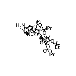 CCC(C)(C)COC(=O)[C@H](C)N[P@@](=O)(OCOC(=O)OC(C)C)OC[C@H]1O[C@@](C#N)(c2ccc3c(N)ncnn23)[C@H](OC(=O)C(C)C)[C@@H]1OC(=O)C(C)C